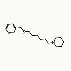 [CH]1CCN(CCCCCCSCc2ccccc2)CC1